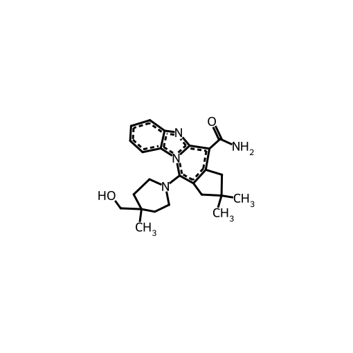 CC1(C)Cc2c(c(N3CCC(C)(CO)CC3)n3c(nc4ccccc43)c2C(N)=O)C1